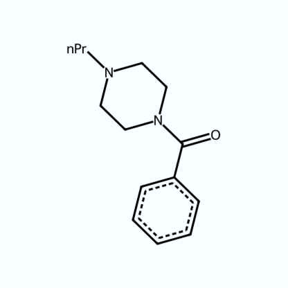 [CH2]CCN1CCN(C(=O)c2ccccc2)CC1